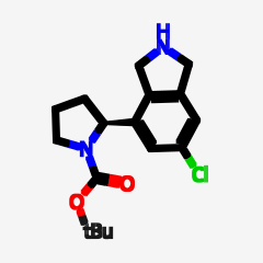 CC(C)(C)OC(=O)N1CCC[C@H]1c1cc(Cl)cc2c1CNC2